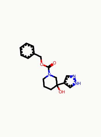 O=C(OCc1ccccc1)N1CCCC(O)(c2cn[nH]c2)C1